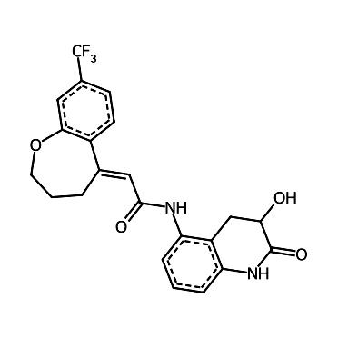 O=C(C=C1CCCOc2cc(C(F)(F)F)ccc21)Nc1cccc2c1CC(O)C(=O)N2